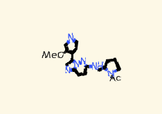 COc1cnccc1-c1cnc2ccc(NCC3CCCN3C(C)=O)nn12